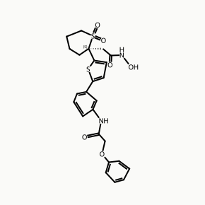 O=C(C[C@]1(c2ccc(-c3cccc(NC(=O)COc4ccccc4)c3)s2)CCCCS1(=O)=O)NO